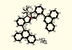 CC1=Cc2c(-c3cc4ccccc4c4ccccc34)cccc2[CH]1[Zr]([CH3])([CH3])(=[SiH2])[CH]1C(C)=Cc2c(-c3cc4ccccc4c4ccccc34)cccc21.Cl.Cl